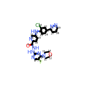 O=C(NNc1ncc(F)c(N2CCOCC2)n1)c1ccc(Nc2ccc(-c3cccnn3)cc2Cl)cn1